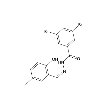 Cc1ccc(O)c(/C=N\NC(=O)c2cc(Br)cc(Br)c2)c1